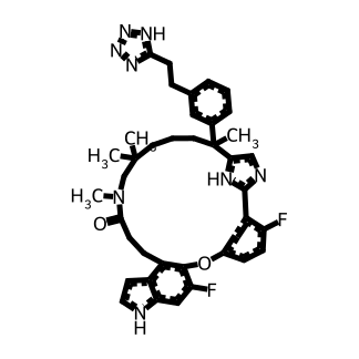 CN1CC(C)(C)CCCC(C)(c2cccc(CCc3nnn[nH]3)c2)c2cnc([nH]2)-c2cc(ccc2F)Oc2c(F)cc3[nH]ccc3c2CCC1=O